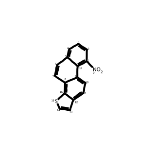 O=[N+]([O-])c1cccc2ccc3c(ccc4ccsc43)c12